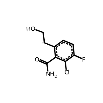 NC(=O)c1c([CH]CO)ccc(F)c1Cl